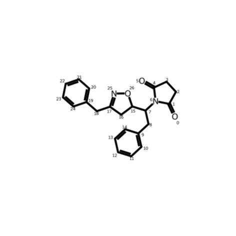 O=C1CCC(=O)N1C(Cc1ccccc1)C1CC(Cc2ccccc2)=NO1